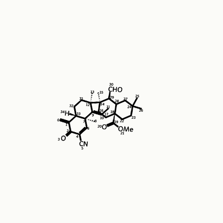 C=C1C(=O)C(C#N)=C[C@]2(C)/C(=C/C)[C@](C)([C@]3(C)CC[C@@]4(C(=O)OC)CCC(C)(C)CC4C3C=O)CC[C@@H]12